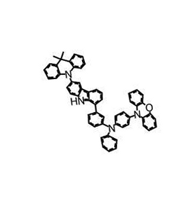 CC1(C)c2ccccc2N(c2ccc3[nH]c4c(-c5cccc(N(c6ccccc6)c6ccc(N7c8ccccc8Oc8ccccc87)cc6)c5)cccc4c3c2)c2ccccc21